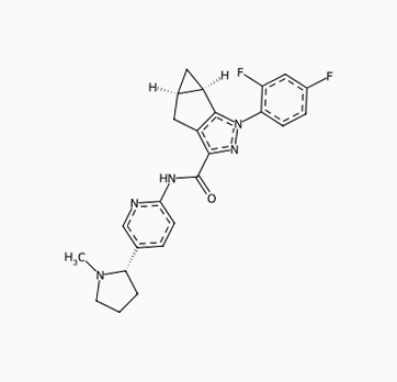 CN1CCC[C@H]1c1ccc(NC(=O)c2nn(-c3ccc(F)cc3F)c3c2C[C@H]2C[C@@H]32)nc1